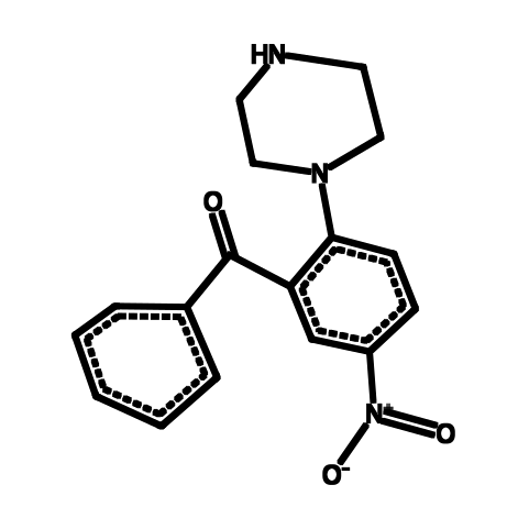 O=C(c1ccccc1)c1cc([N+](=O)[O-])ccc1N1CCNCC1